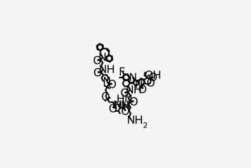 CCC1(O)C(=O)OCc2c1cc1n(c2=O)Cc2c-1nc1cc(F)c(C)c3c1c2C(NC(=O)CNC(=O)C(CCCCN)NC(=O)C(NC(=O)CCC(C)(C)OCCC(C)(C)C(=O)N1CCC(C(=O)NCCC(=O)N2Cc4ccccc4C#Cc4ccccc42)CC1)C(C)C)CC3